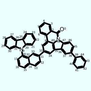 O=c1c2ccccc2c2cc(-c3ccc4cccc(-n5c6ccccc6c6ccccc65)c4c3)cc3c4cc(-c5ccccc5)ccc4n1c23